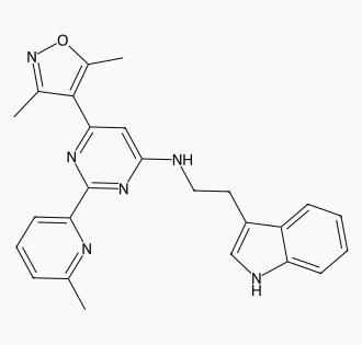 Cc1cccc(-c2nc(NCCc3c[nH]c4ccccc34)cc(-c3c(C)noc3C)n2)n1